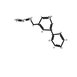 [N-]=[N+]=NCc1cncc(-c2ccccc2)c1